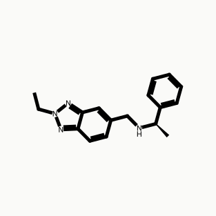 CCn1nc2ccc(CN[C@H](C)c3ccccc3)cc2n1